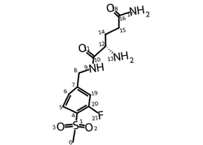 CS(=O)(=O)c1ccc(CNC(=O)[C@@H](N)CCC(N)=O)cc1F